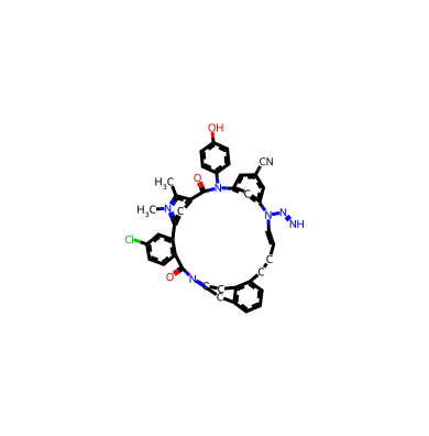 Cc1c2cc(n1C)-c1cc(Cl)ccc1C(=O)N1CCc3c(cccc3C1)CC/C=C/N(N=N)c1cc(C#N)cc(c1)N(c1ccc(O)cc1)C2=O